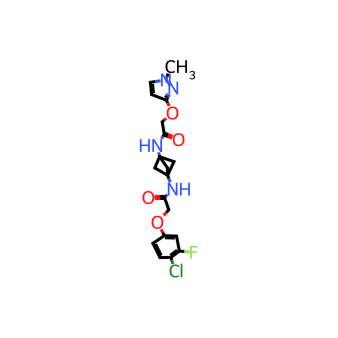 Cn1ccc(OCC(=O)NC23CC(NC(=O)COc4ccc(Cl)c(F)c4)(C2)C3)n1